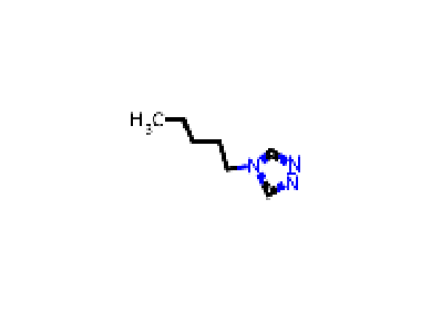 CCCCCn1[c]nnc1